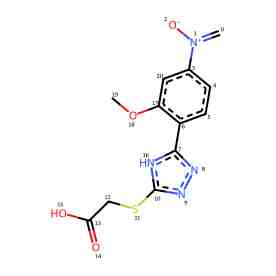 C=[N+]([O-])c1ccc(-c2nnc(SCC(=O)O)[nH]2)c(OC)c1